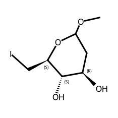 COC1C[C@@H](O)[C@H](O)[C@@H](CI)O1